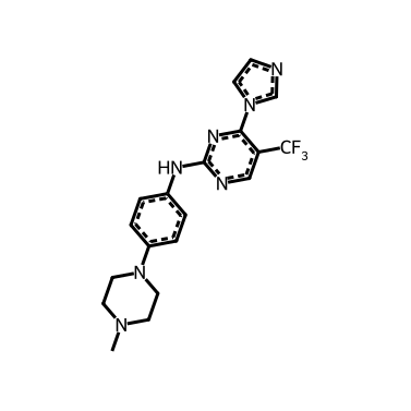 CN1CCN(c2ccc(Nc3ncc(C(F)(F)F)c(-n4ccnc4)n3)cc2)CC1